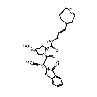 C#C[C@@H](C(=O)N1C[C@H](O)C[C@H]1C(=O)NC/C=C/C1CCCCCC1)N1Cc2ccccc2C1=O